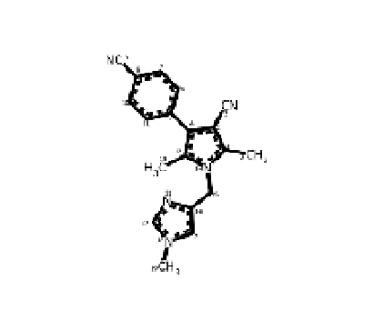 Cc1c(C#N)c(-c2ccc(C#N)cc2)c(C)n1Cc1cn(C)cn1